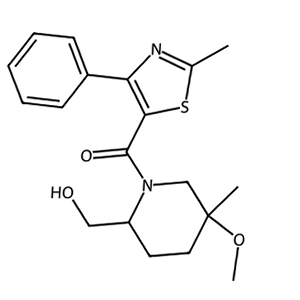 COC1(C)CCC(CO)N(C(=O)c2sc(C)nc2-c2ccccc2)C1